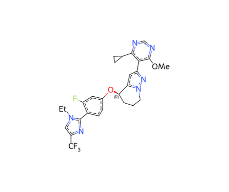 CCn1cc(C(F)(F)F)nc1-c1ccc(O[C@@H]2CCCn3nc(-c4c(OC)ncnc4C4CC4)cc32)cc1F